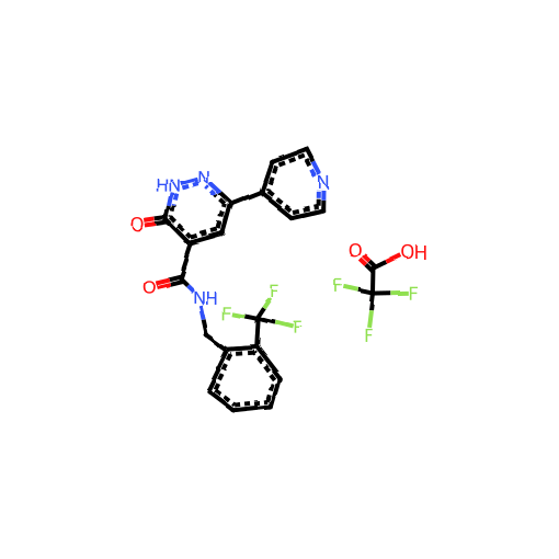 O=C(NCc1ccccc1C(F)(F)F)c1cc(-c2ccncc2)n[nH]c1=O.O=C(O)C(F)(F)F